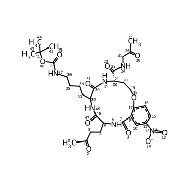 CC(=O)CCC1NC(=O)c2cc([N+](=O)[O-])ccc2OCC[C@@H](C(=O)NCC(C)=O)NC(=O)C(CCCCNC(=O)OC(C)(C)C)NC1=O